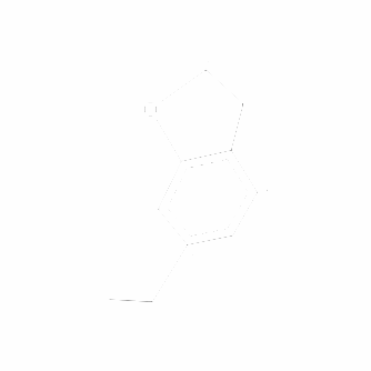 [CH2]Cc1ccc2c(c1)OCC2